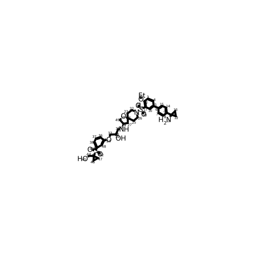 CCOc1ccc(-c2ccc(C3(N)CC3)cc2)cc1S(=O)(=O)N1CCC2(CC1)C[C@@H](NC[C@H](O)COc1cccc(S(=O)(=O)C3(CO)CC3)c1)CO2